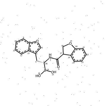 O=C(N[C@@H](Cc1coc2ccccc12)B(O)O)C1COc2ccccc21